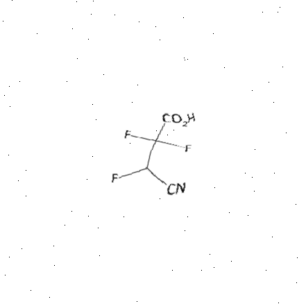 N#CC(F)C(F)(F)C(=O)O